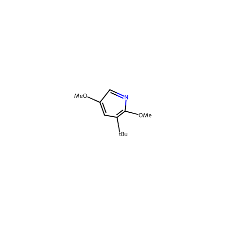 COc1cnc(OC)c(C(C)(C)C)c1